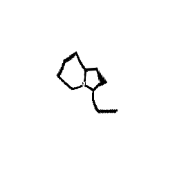 CCC1CCC2CCCCN12